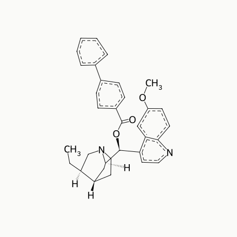 CC[C@H]1CN2CC[C@H]1C[C@@H]2[C@@H](OC(=O)c1ccc(-c2ccccc2)cc1)c1ccnc2ccc(OC)cc12